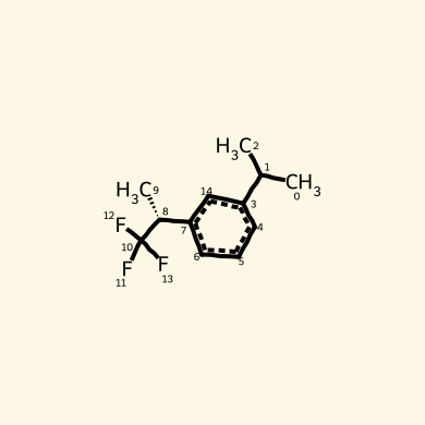 CC(C)c1cccc([C@@H](C)C(F)(F)F)c1